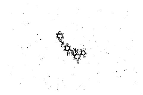 CN1CC2=C(NN=C(c3ccc(OCCN4CCOCC4)cc3)N2)N(C2CCCC2)C1